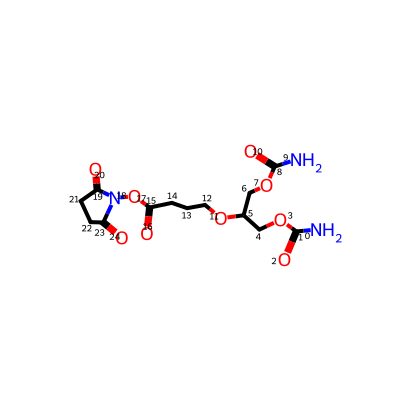 NC(=O)OCC(COC(N)=O)OCCCC(=O)ON1C(=O)CCC1=O